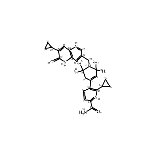 [2H]C1([2H])C=C(c2ccc(C(N)=O)nc2C2CC2)CC([2H])([2H])N1Cc1cnc2cc(C3CC3)c(=O)[nH]c2c1